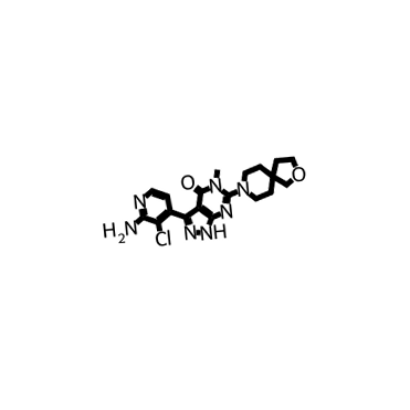 Cn1c(N2CCC3(CCOC3)CC2)nc2[nH]nc(-c3ccnc(N)c3Cl)c2c1=O